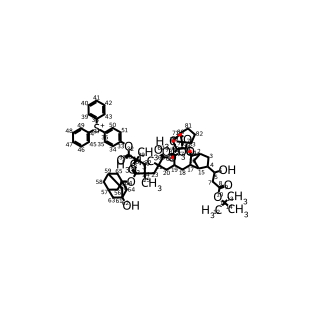 CC1C2CC(C(O)CC(=O)OC(C)(C)C)C(C2)C1CC(CC(C)(CC(C)(CC(C)(C)C(=O)Oc1ccc([S+](c2ccccc2)c2ccccc2)cc1)C(=O)OC12CC3CC(CC(O)(C3)C1)C2)C(=O)OC1CCOC1=O)C(=O)OC1(C)CCCC1